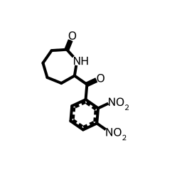 O=C1CCCCC(C(=O)c2cccc([N+](=O)[O-])c2[N+](=O)[O-])N1